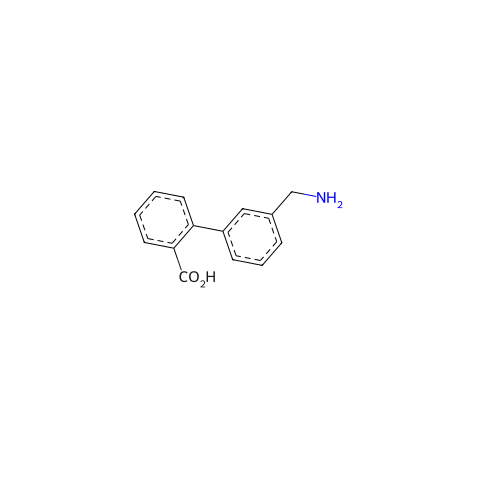 NCc1cccc(-c2ccccc2C(=O)O)c1